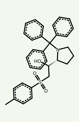 Cc1ccc(S(=O)(=O)CC(O)[C@H]2CCCN2C(c2ccccc2)(c2ccccc2)c2ccccc2)cc1